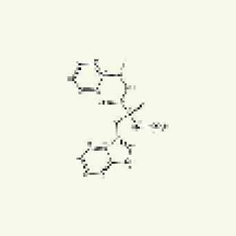 C[C@H](NC(=O)[C@@](C)(Cc1c[nH]c2ccccc12)NC(=O)O)c1ccccc1